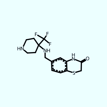 O=C1CSc2ccc(CNC3(C(F)(F)F)CCNCC3)cc2N1